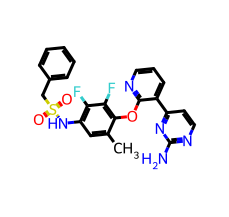 Cc1cc(NS(=O)(=O)Cc2ccccc2)c(F)c(F)c1Oc1ncccc1-c1ccnc(N)n1